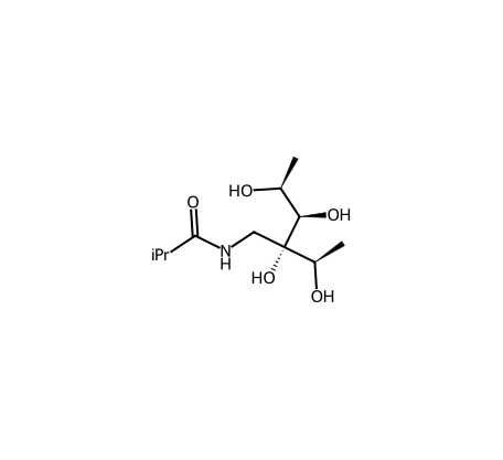 CC(C)C(=O)NC[C@@](O)([C@H](O)[C@H](C)O)[C@@H](C)O